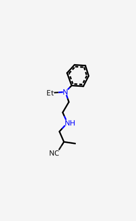 CCN(CCNCC(C)C#N)c1ccccc1